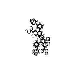 COC(=O)/C=C/c1c(-c2cccc(N3CCOCC3)c2)cc(Sc2cc(-c3cccc(N4CCOCC4)c3)c(/C=C/C(=O)OC)c(Cl)c2Cl)c(Cl)c1Cl